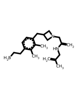 BCCc1ccc(CC2CN(CC(=C)NCC(=C)C)C2)c(C)c1C